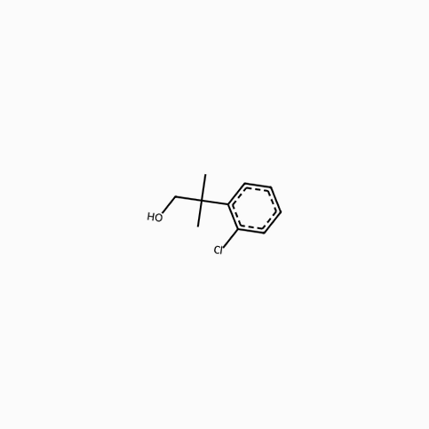 CC(C)(CO)c1ccccc1Cl